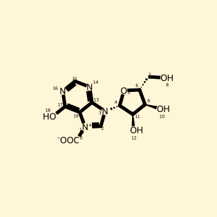 O=C([O-])[n+]1cn([C@@H]2O[C@H](CO)[C@@H](O)[C@H]2O)c2ncnc(O)c21